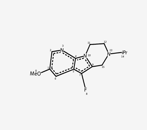 COc1cnc2c(c1)c(F)c1n2CCN(C(C)C)C1